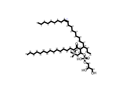 CCCCCCCC/C=C\CCCCCCCCC(CCC)C(C(=O)CCCCCCCCCCCCCCC)C(C[N+](C)(C)C)OP(=O)(O)OCC(O)CO